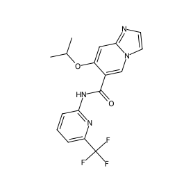 CC(C)Oc1cc2nccn2cc1C(=O)Nc1cccc(C(F)(F)F)n1